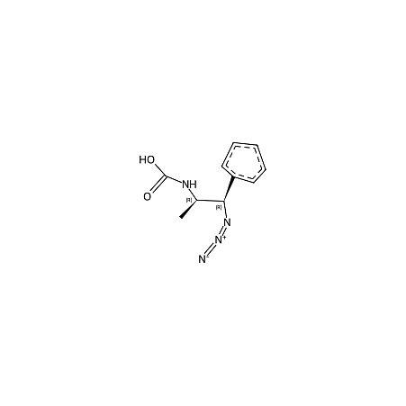 C[C@@H](NC(=O)O)[C@H](N=[N+]=[N-])c1ccccc1